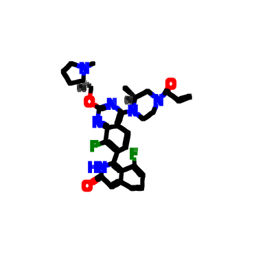 C=CC(=O)N1CCN(c2nc(OC[C@@H]3CCCN3C)nc3c(F)c(-c4[nH]c(=O)cc5cccc(F)c45)ccc23)[C@@H](C)C1